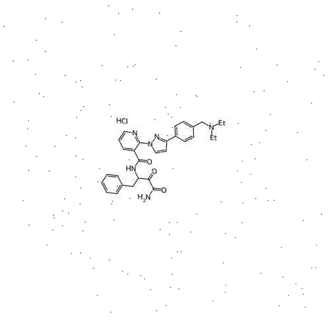 CCN(CC)Cc1ccc(-c2ccn(-c3ncccc3C(=O)NC(Cc3ccccc3)C(=O)C(N)=O)n2)cc1.Cl